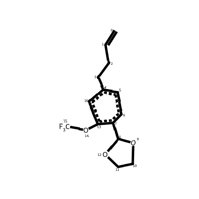 C=CCCc1ccc(C2OCCO2)c(OC(F)(F)F)c1